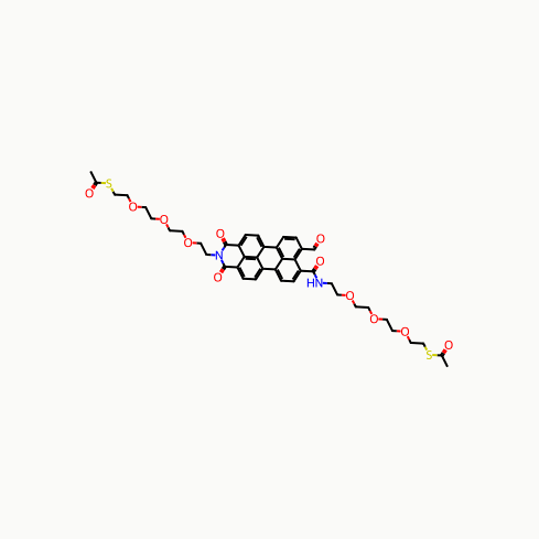 CC(=O)SCCOCCOCCOCCNC(=O)c1ccc2c3ccc4c5c(ccc(c6ccc(C=O)c1c62)c53)C(=O)N(CCOCCOCCOCCSC(C)=O)C4=O